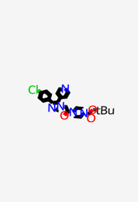 CC(C)(C)OC(=O)N1CCN(C(=O)Cn2cnc(-c3ccc(Cl)cc3)c2-c2ccncc2)CC1